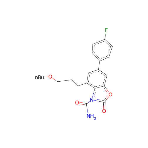 CCCCOCCCc1cc(-c2ccc(F)cc2)cc2oc(=O)n(C(N)=O)c12